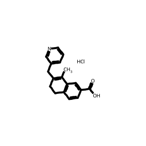 CC1=C(Cc2cccnc2)CCc2ccc(C(=O)O)cc21.Cl